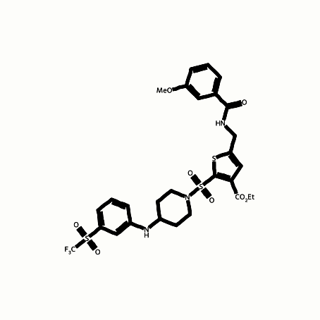 CCOC(=O)c1cc(CNC(=O)c2cccc(OC)c2)sc1S(=O)(=O)N1CCC(Nc2cccc(S(=O)(=O)C(F)(F)F)c2)CC1